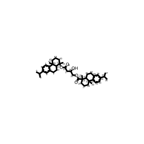 CC(C)c1ccc2c(c1)CCC1C(C)(OC(=O)CC(O)COC(=O)C3(C)CCCC4(C)c5ccc(C(C)C)cc5CCC34)CCCC21C